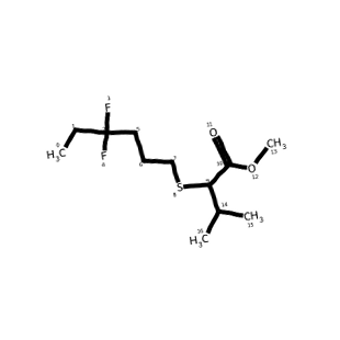 CCC(F)(F)CCCSC(C(=O)OC)C(C)C